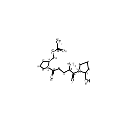 N#CC1CCCN1C(=O)C(N)CCC(=O)N1CCC[C@H]1COC(=O)C(F)(F)F